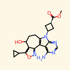 COC(=O)[C@H]1C[C@@H](n2c3c(c4c(N)ncnc42)-c2noc(C4CC4)c2C(O)CC3)C1